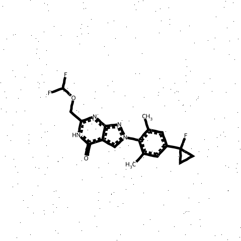 Cc1cc(C2(F)CC2)cc(C)c1-n1cc2c(=O)[nH]c(COC(F)F)nc2n1